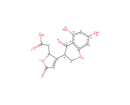 O=C(O)CC1OC(=O)C=C1C1COc2cc(O)cc(O)c2C1=O